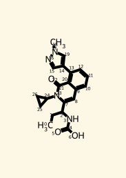 CCC(NC(=O)O)c1cc2cccc(-c3cnn(C)c3)c2c(=O)n1C1CC1